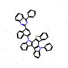 c1ccc(-c2nc(-c3ccc(-n4c5ccccc5c5c6c7ccccc7n(-c7ccccc7)c6c6c7ccccc7sc6c54)c4ccccc34)nc3ccccc23)cc1